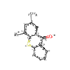 Cc1cc(C(C)C)c2sc3ccccc3c(=O)c2c1